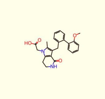 COc1ccccc1-c1ccccc1Cc1c2c(n(CC(=O)O)c1C)CCNC2=O